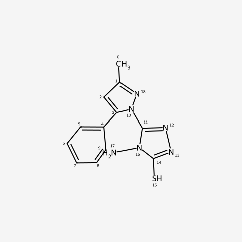 Cc1cc(-c2ccccc2)n(-c2nnc(S)n2N)n1